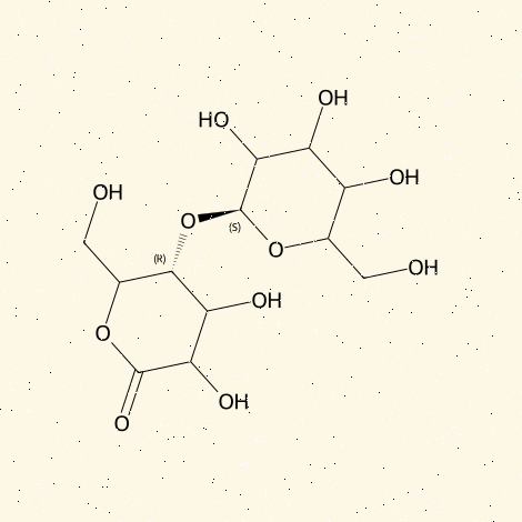 O=C1OC(CO)[C@H](O[C@@H]2OC(CO)C(O)C(O)C2O)C(O)C1O